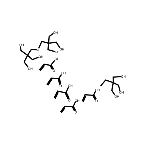 C=CC(=O)O.C=CC(=O)O.C=CC(=O)O.C=CC(=O)O.C=CC(=O)O.CCC(CO)(CO)CO.OCC(CO)(CO)COCC(CO)(CO)CO